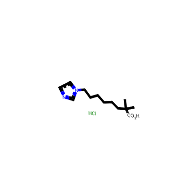 CC(C)(CCCCCCn1ccnc1)C(=O)O.Cl